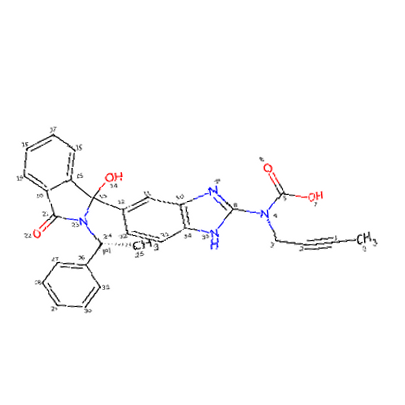 CC#CCN(C(=O)O)c1nc2cc(C3(O)c4ccccc4C(=O)N3[C@H](C)c3ccccc3)ccc2[nH]1